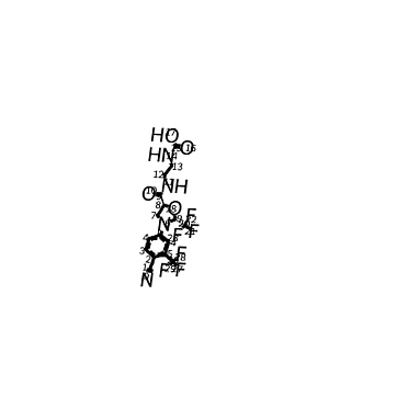 N#Cc1ccc(N2C[C@@H](C(=O)NCCNC(=O)O)O[C@@H]2C(F)(F)F)cc1C(F)(F)F